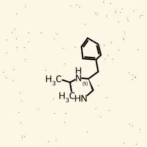 CC(C)N[C@H](C[NH])Cc1ccccc1